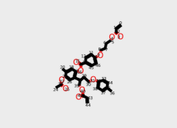 C=CC(=O)OCCCCOc1ccc(C(=O)Oc2cc(C)c(OC(C)=O)cc2C(CCOc2ccc(C)cc2)COC(=O)C=C)cc1